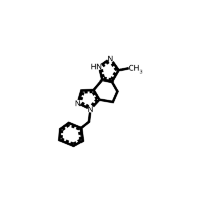 Cc1n[nH]c2c1CCc1c-2cnn1Cc1ccccc1